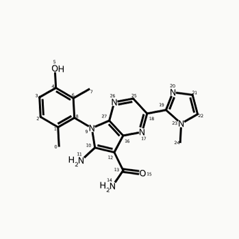 Cc1ccc(O)c(C)c1-n1c(N)c(C(N)=O)c2nc(-c3nccn3C)cnc21